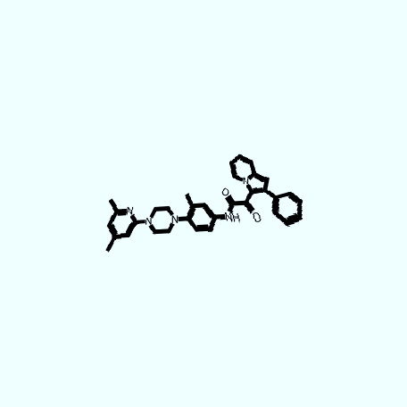 Cc1cc(C)nc(N2CCN(c3ccc(NC(=O)C(=O)c4c(-c5ccccc5)cc5ccccn45)cc3C)CC2)c1